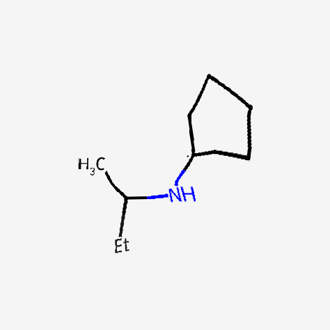 CCC(C)N[C]1CCCC1